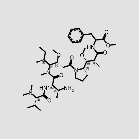 CC[C@H](C)[C@@H]([C@@H](CC(=O)N1CCC[C@H]1[C@H](OC)[C@@H](C)C(=O)NC(Cc1ccccc1)C(=O)OC)OC)N(C)C(=O)[C@@H](NC(=O)[C@H](C(C)C)N(C)C)[C@H](C)N